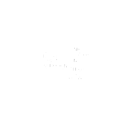 Cc1c[nH]c(=O)nc1N.O=S(=O)(O)O.O=S(=O)(O)O